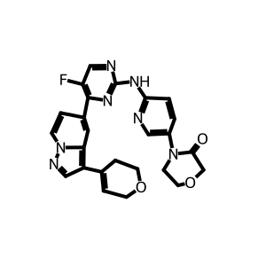 O=C1COCCN1c1ccc(Nc2ncc(F)c(-c3ccn4ncc(C5=CCOCC5)c4c3)n2)nc1